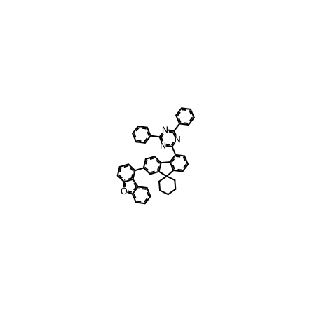 c1ccc(-c2nc(-c3ccccc3)nc(-c3cccc4c3-c3ccc(-c5cccc6oc7ccccc7c56)cc3C43CCCCC3)n2)cc1